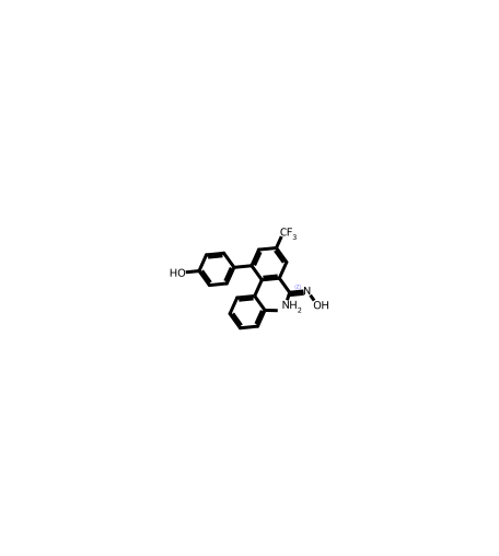 Cc1ccccc1-c1c(/C(N)=N/O)cc(C(F)(F)F)cc1-c1ccc(O)cc1